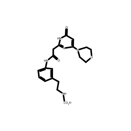 O=C(O)NCCc1cccc(NC(=O)Cc2nc(N3CCOCC3)cc(=O)[nH]2)c1